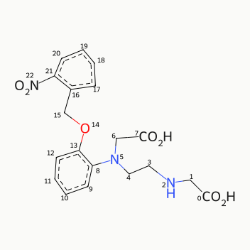 O=C(O)CNCCN(CC(=O)O)c1ccccc1OCc1ccccc1[N+](=O)[O-]